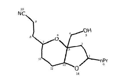 CCCC1CC2(CO)OC(CCC#N)CCC2O1